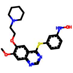 COc1cc2ncnc(Sc3cccc(NO)c3)c2cc1OCCN1CCCCC1